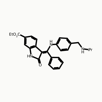 CCOC(=O)c1ccc2c(c1)NC(=O)C2=C(Nc1ccc(CNC(C)C)cc1)c1ccccc1